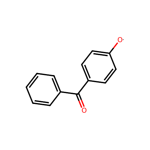 [O]c1ccc(C(=O)c2ccccc2)cc1